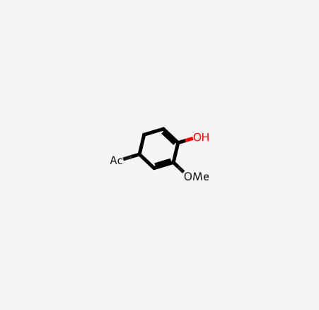 COC1=CC(C(C)=O)CC=C1O